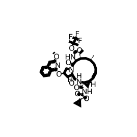 CC[C@@H]1C[C@H](C)CC/C=C\[C@@H]2C[C@@]2(C(=O)NS(=O)(=O)C2CC2)NC(=O)[C@@H]2C[C@@H](Oc3nc(OC)cc4ccccc34)CN2C(=O)[C@H]1NC(=O)OC(C)(C)C(F)(F)F